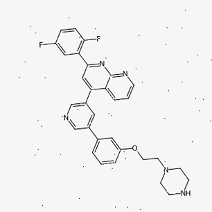 Fc1ccc(F)c(-c2cc(-c3cncc(-c4cccc(OCCN5CCNCC5)c4)c3)c3cccnc3n2)c1